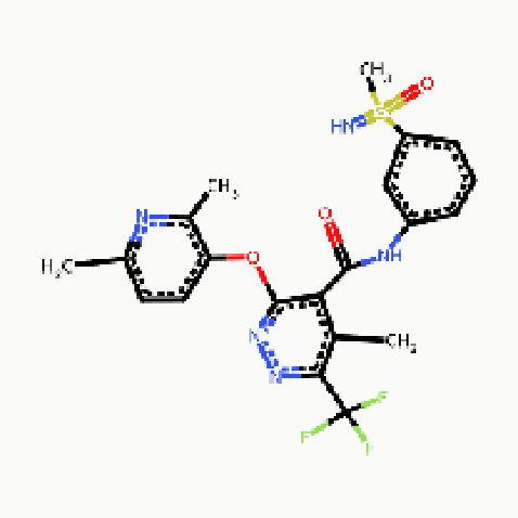 Cc1ccc(Oc2nnc(C(F)(F)F)c(C)c2C(=O)Nc2cccc(S(C)(=N)=O)c2)c(C)n1